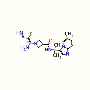 Cc1ccc2ncc(C(C)(C)NC(=O)C3CN(/C(N)=C(\F)C=N)C3)n2c1